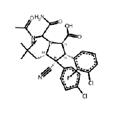 CC(=O)NC(C(N)=O)N1[C@@H](CC(C)(C)C)[C@](C#N)(c2ccc(Cl)cc2)[C@@H](c2cccc(Cl)c2F)[C@@H]1C(=O)O